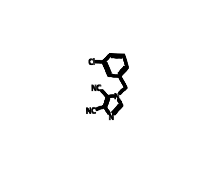 N#Cc1ncn(Cc2cccc(Cl)c2)c1C#N